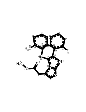 COC(=O)Cc1csc2nc(-c3c(F)cccc3Cl)c(Nc3c(C)cccc3Cl)n12